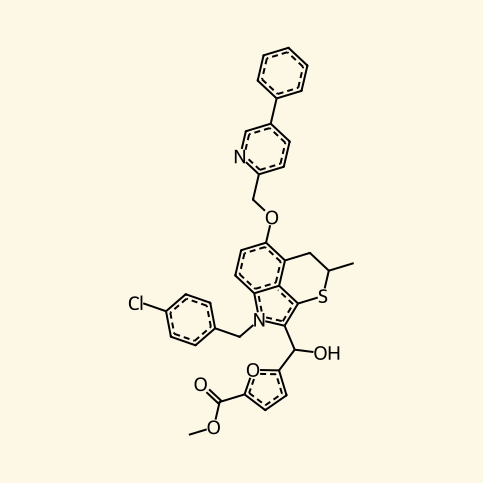 COC(=O)c1ccc(C(O)c2c3c4c(c(OCc5ccc(-c6ccccc6)cn5)ccc4n2Cc2ccc(Cl)cc2)CC(C)S3)o1